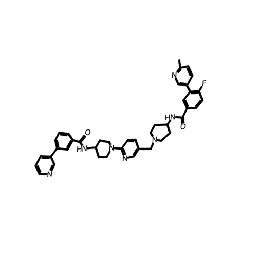 Cc1ccc(-c2cc(C(=O)NC3CCN(Cc4ccc(N5CCC(NC(=O)c6cccc(-c7cccnc7)c6)CC5)nc4)CC3)ccc2F)cn1